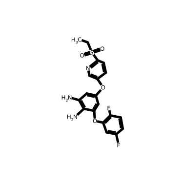 CCS(=O)(=O)c1ccc(Oc2cc(N)c(N)c(Oc3cc(F)ccc3F)c2)cn1